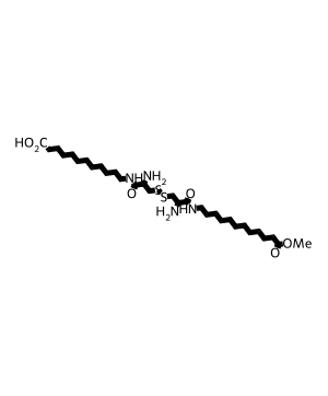 COC(=O)CCCCCCCCCCCNC(=O)C(N)CSSCC(N)C(=O)NCCCCCCCCCCCC(=O)O